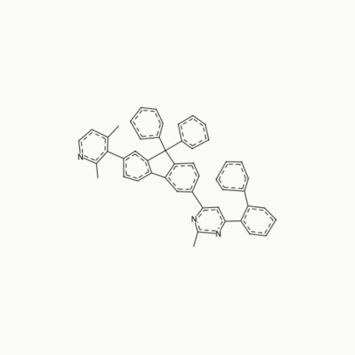 Cc1nc(-c2ccc3c(c2)-c2ccc(-c4c(C)ccnc4C)cc2C3(c2ccccc2)c2ccccc2)cc(-c2ccccc2-c2ccccc2)n1